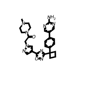 CN1CCN(C(=O)Cn2cc(-c3nc(C4(c5ccc(-c6cnc(N)nc6)cc5)CCC4)no3)cn2)CC1